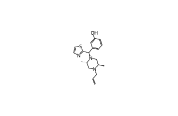 C=CCN1C[C@H](C)N([C@H](c2cccc(O)c2)c2nccs2)C[C@H]1C